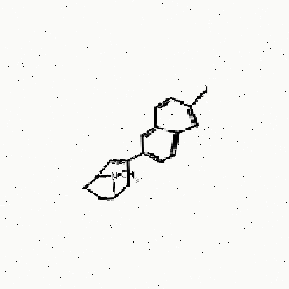 CN1C2C=C(c3ccc4cc(I)ccc4c3)CC1CC2